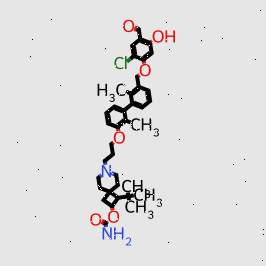 Cc1c(COc2cc(O)c(C=O)cc2Cl)cccc1-c1cccc(OCCCN2CCC3(CC2)CC(OC(N)=O)C3C(C)(C)C)c1C